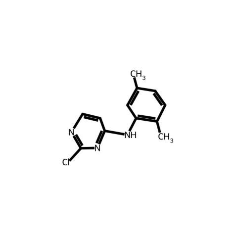 Cc1ccc(C)c(Nc2ccnc(Cl)n2)c1